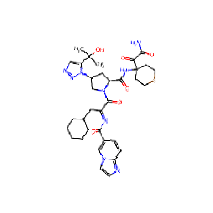 CC(C)(O)c1cnnn1[C@H]1C[C@@H](C(=O)NC2(C(=O)C(N)=O)CCSCC2)N(C(=O)/C(CC2CCCCC2)=N/C(=O)c2ccc3nccn3c2)C1